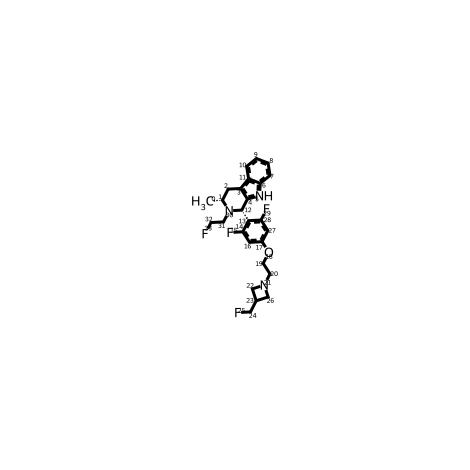 C[C@@H]1Cc2c([nH]c3ccccc23)[C@H](c2c(F)cc(OCCN3CC(CF)C3)cc2F)N1CCF